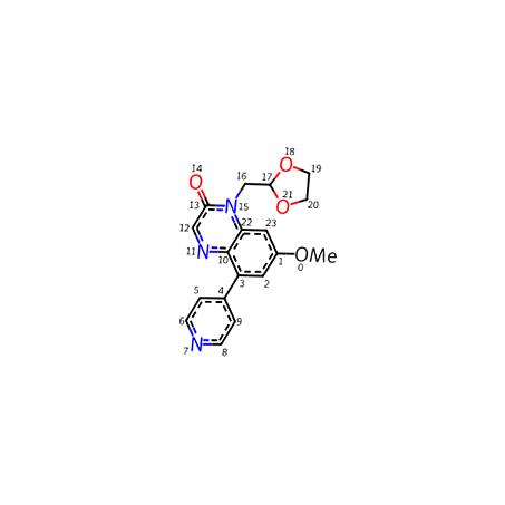 COc1cc(-c2ccncc2)c2ncc(=O)n(CC3OCCO3)c2c1